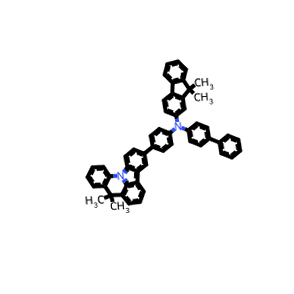 CC1(C)c2ccccc2-c2ccc(N(c3ccc(-c4ccccc4)cc3)c3ccc(-c4ccc5c(c4)c4cccc6c4n5-c4ccccc4C6(C)C)cc3)cc21